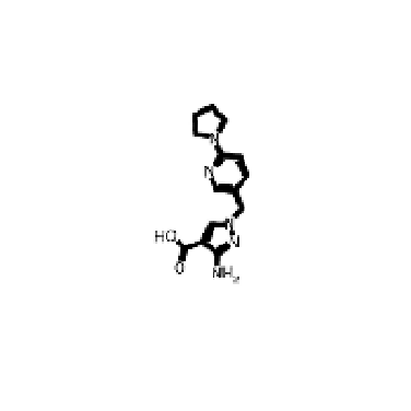 Nc1nn(Cc2ccc(N3CCCC3)nc2)cc1C(=O)O